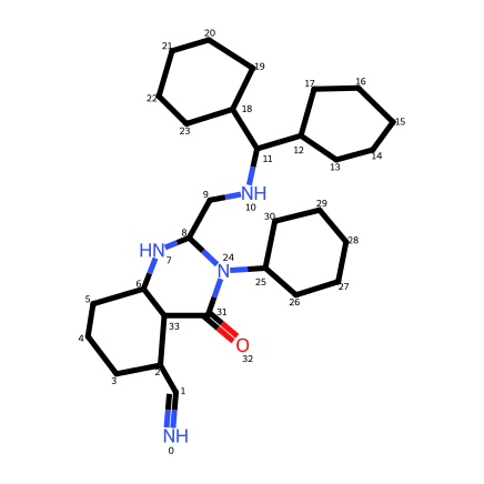 N=CC1CCCC2NC(CNC(C3CCCCC3)C3CCCCC3)N(C3CCCCC3)C(=O)C12